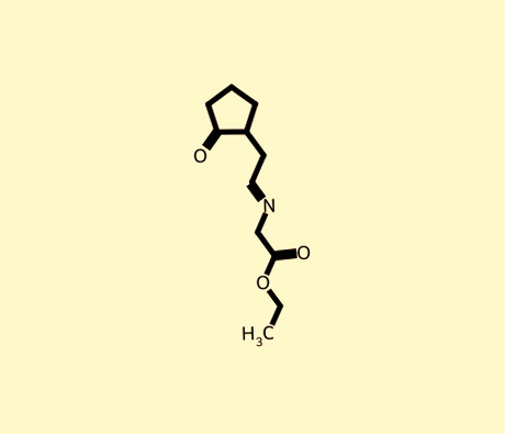 CCOC(=O)CN=CCC1CCCC1=O